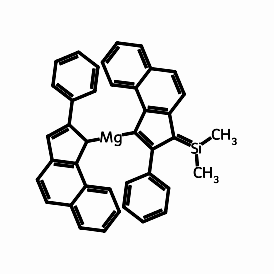 C[Si](C)=C1C(c2ccccc2)=[C]([Mg][CH]2C(c3ccccc3)=Cc3ccc4ccccc4c32)c2c1ccc1ccccc21